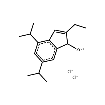 CCC1=Cc2c(C(C)C)cc(C(C)C)cc2[CH]1[Zr+2].[Cl-].[Cl-]